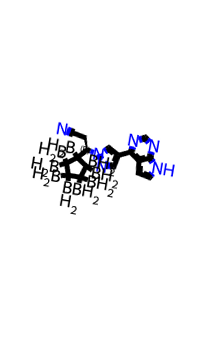 BC1(B)C(B)(B)C(B)(B)C(B)([C@@H](CC#N)n2cc(-c3ncnc4[nH]ccc34)cn2)C1(B)B